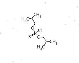 CC(C)COP(=S)(Cl)OCC(C)C